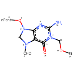 CCCCCON1CN(C=O)c2c1nc(N)n(COCC)c2=O